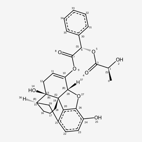 C[C@H](O)C(=O)O[C@H](C(=O)OC1=CC[C@@]2(O)[C@@H]3CCC[C@@]24c2c(ccc(O)c2O[C@@H]14)C3)c1ccccc1